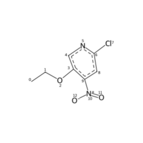 CCOc1cnc(Cl)cc1[N+](=O)[O-]